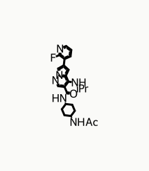 CC(=O)N[C@H]1CC[C@H](NC(=O)c2cnn3cc(-c4cccnc4F)cc3c2NC(C)C)CC1